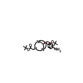 CC(C)(C)OC(=O)CN1CCN2CCN(CC(=O)OC(C)(C)C)CCN(CC1)CC(Cc1ccc(N)cc1)C2